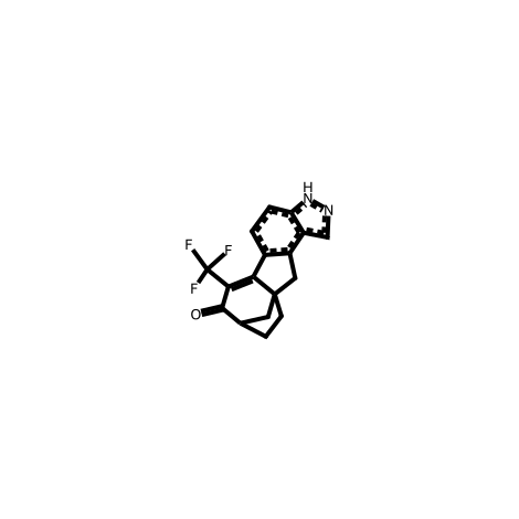 O=C1C(C(F)(F)F)=C2c3ccc4[nH]ncc4c3CC23CCC1C3